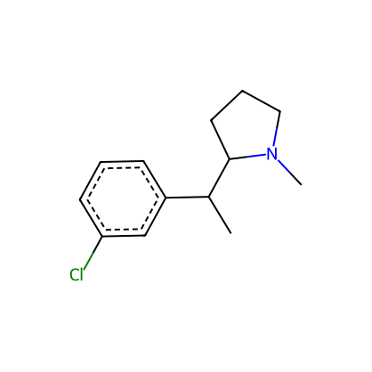 CC(c1cccc(Cl)c1)C1CCCN1C